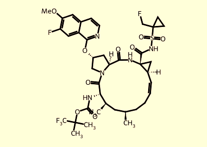 COc1cc2ccnc(O[C@@H]3C[C@H]4C(=O)N[C@]5(C(=O)NS(=O)(=O)C6(CF)CC6)C[C@H]5C=CCC[C@@H](C)C[C@@H](C)[C@H](NC(=O)OC(C)(C)C(F)(F)F)C(=O)N4C3)c2cc1F